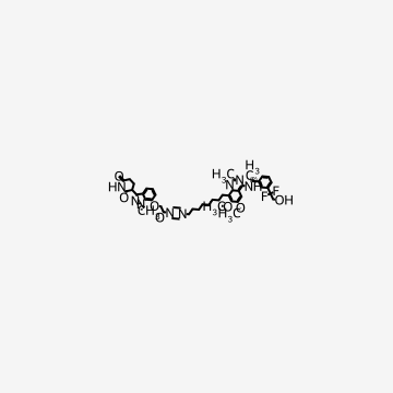 COc1cc2c(N[C@H](C)c3cccc(C(F)(F)CO)c3)nc(C)nc2c(CCCCCCCCN2CCN(C(=O)COc3cccc4c(C5CCC(=O)NC5=O)nn(C)c34)CC2)c1OC